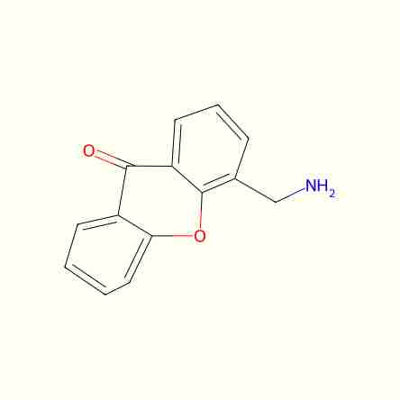 NCc1cccc2c(=O)c3ccccc3oc12